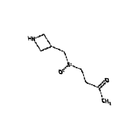 CC(=O)CC[S+]([O-])CC1CNC1